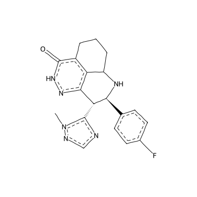 Cn1ncnc1[C@@H]1c2n[nH]c(=O)c3c2C(CCC3)N[C@H]1c1ccc(F)cc1